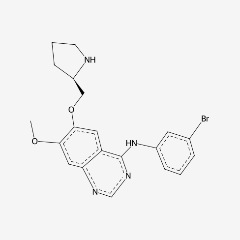 COc1cc2ncnc(Nc3cccc(Br)c3)c2cc1OC[C@H]1CCCN1